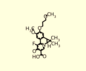 COCCCOc1cc2c(cc1OC)-c1c(F)c(=O)c(C(=O)O)cn1[C@H]1C2C1(C)C